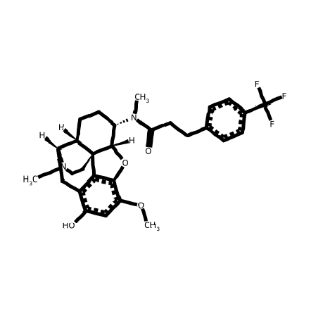 COc1cc(O)c2c3c1O[C@H]1[C@@H](N(C)C(=O)CCc4ccc(C(F)(F)F)cc4)CC[C@H]4[C@@H](C2)N(C)CC[C@@]341